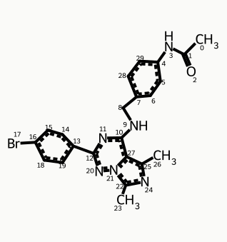 CC(=O)Nc1ccc(CNc2nc(-c3ccc(Br)cc3)nn3c(C)nc(C)c23)cc1